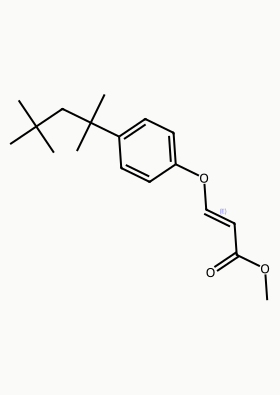 COC(=O)/C=C/Oc1ccc(C(C)(C)CC(C)(C)C)cc1